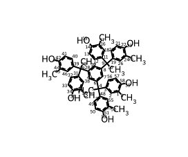 Cc1cc(C(C)(c2cc(C(C)(c3ccc(O)c(C)c3)c3ccc(O)c(C)c3)cc(C(C)(c3ccc(O)c(C)c3)c3ccc(O)c(C)c3)c2)c2ccc(O)c(C)c2)ccc1O